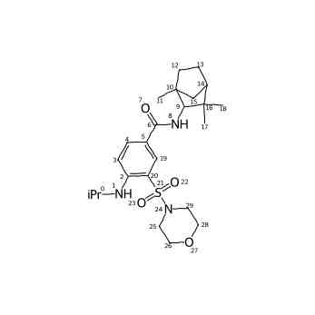 CC(C)Nc1ccc(C(=O)NC2C3(C)CCC(C3)C2(C)C)cc1S(=O)(=O)N1CCOCC1